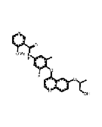 COc1ccncc1C(=O)Nc1cc(F)c(Oc2ccnc3ccc(OC(C)CO)cc23)c(F)c1